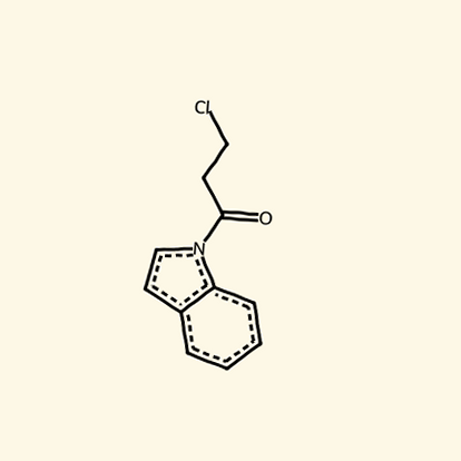 O=C(CCCl)n1ccc2ccccc21